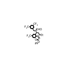 CC[C@@H]1C[C@H](N(C=O)Cc2cc(C(F)(F)F)cc(C(F)(F)F)c2)c2cc(C(F)(F)F)ccc2N1OC(=O)OC(C)C